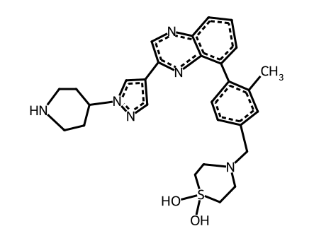 Cc1cc(CN2CCS(O)(O)CC2)ccc1-c1cccc2ncc(-c3cnn(C4CCNCC4)c3)nc12